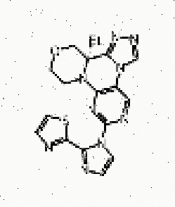 CC[C@@]12COCCN1c1nc(-n3ccnc3-c3nccs3)ncc1-n1cnnc12